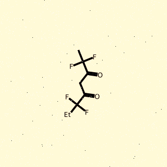 CCC(F)(F)C(=O)CC(=O)C(C)(F)F